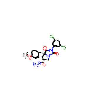 NC(=O)[C@H]1CN2C(=O)N(c3cc(Cl)cc(Cl)c3)C(=O)[C@]2(Cc2ccc(OC(F)(F)F)cc2)C1